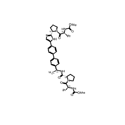 COC(=O)N[C@H](C(=O)N1CCC[C@H]1C(=O)N[C@@H](C)c1ccc(-c2ccc(-c3cnc([C@@H]4CCCN4C(=O)[C@@H](NC(=O)OC)C(C)C)[nH]3)cc2)cc1)C(C)C